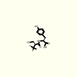 O=C(O)[C@H](Cc1ccc(O)cc1)NC(=O)[C@H](CS)C(F)(F)F